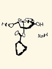 O=C(O)CC(CC(=O)O)(OC(=O)c1ccccc1)C(=O)O.[NaH]